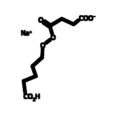 O=C([O-])CCC(=O)OOCCCCC(=O)O.[Na+]